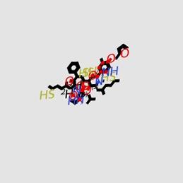 [2H]C(C(C)CCC(C)S)[C@@]([2H])(C(=O)C(c1ccccc1)C(S)C(OCc1ccco1)[C](C(=O)[C@H](CC(C)CCC(C)S)N(C)C(=O)[C@H](CC(C)C)NC)C(S)Cc1ccc(OCc2ccco2)cc1)N(C)C(=O)[C@H](CC(C)C)NC